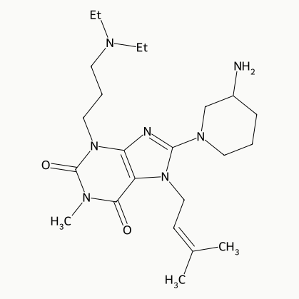 CCN(CC)CCCn1c(=O)n(C)c(=O)c2c1nc(N1CCCC(N)C1)n2CC=C(C)C